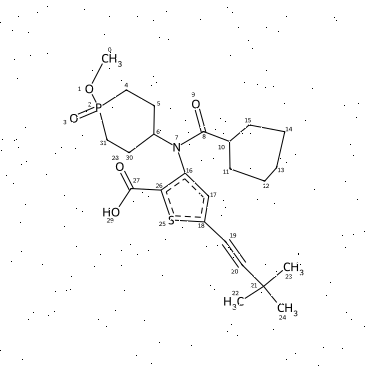 COP1(=O)CCC(N(C(=O)C2CCCCC2)c2cc(C#CC(C)(C)C)sc2C(=O)O)CC1